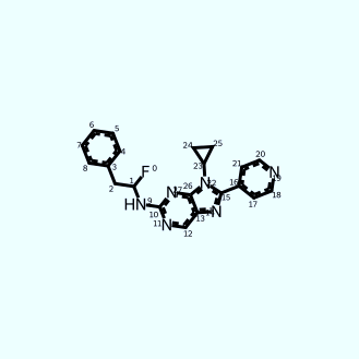 FC(Cc1ccccc1)Nc1ncc2nc(-c3ccncc3)n(C3CC3)c2n1